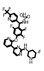 O=[SH](=O)NC(c1ccc(C(F)(F)F)nc1)c1c(F)cc(Oc2ncccc2-c2ccnc(N[C@@H]3CNC[C@@H](F)C3)n2)c(F)c1F